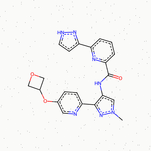 Cn1cc(NC(=O)c2cccc(-c3cc[nH]n3)n2)c(-c2ccc(OC3COC3)cn2)n1